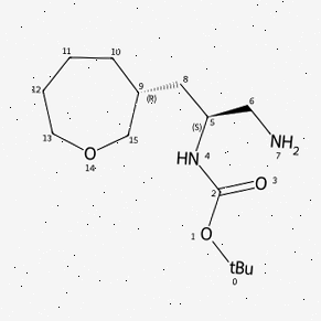 CC(C)(C)OC(=O)N[C@H](CN)C[C@H]1CCCCOC1